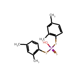 Cc1ccc(SP(O)(=S)Sc2ccc(C)cc2C)c(C)c1